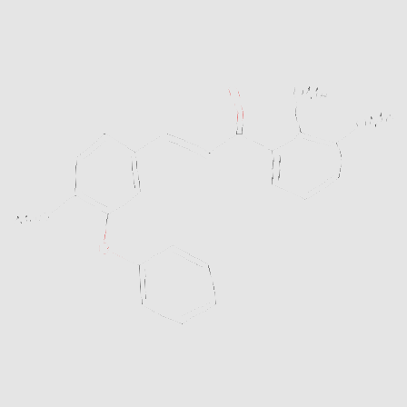 COc1ccc(C=CC(=O)c2cccc(OC)c2OC)cc1Oc1ccccc1